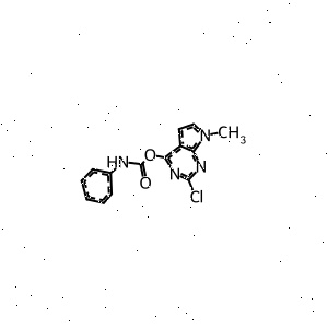 Cn1ccc2c(OC(=O)Nc3ccccc3)nc(Cl)nc21